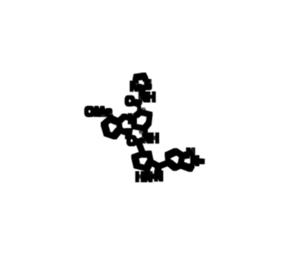 COc1cccc(F)c1CN1C[C@H](NC(=O)c2ccc3[nH]nc(-c4ccc5nn(C)cc5c4)c3c2)CC[C@H]1C(=O)Nc1nccs1